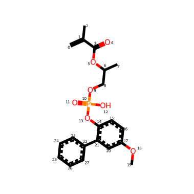 C=C(C)C(=O)OC(C)COP(=O)(O)Oc1ccc(OC)cc1-c1ccccc1